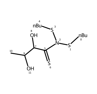 CCCCSN(SCCCC)C(=S)C(O)C(C)O